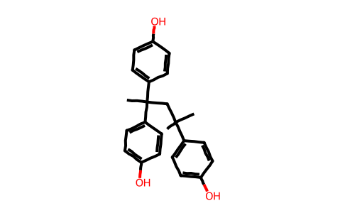 CC(C)(CC(C)(c1ccc(O)cc1)c1ccc(O)cc1)c1ccc(O)cc1